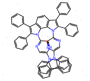 c1ccc(-c2c(-c3ccccc3)n(-c3cnc(-n4c5ccccc5c5ccccc54)cn3)c3c2ccc2c(-c4ccccc4)c(-c4ccccc4)n(-c4cnc(-n5c6ccccc6c6ccccc65)cn4)c23)cc1